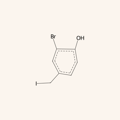 Oc1ccc(CI)cc1Br